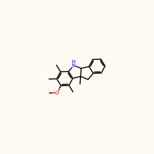 COc1c(C)c(C)c2c(c1C)C1(C)Cc3ccccc3C1N2